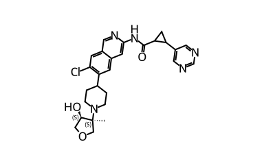 C[C@]1(N2CCC(c3cc4cc(NC(=O)C5CC5c5cncnc5)ncc4cc3Cl)CC2)COC[C@H]1O